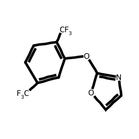 FC(F)(F)c1ccc(C(F)(F)F)c(Oc2nc[c]o2)c1